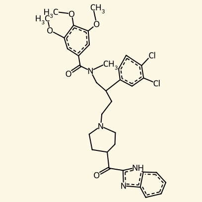 COc1cc(C(=O)N(C)CC(CCN2CCC(C(=O)c3nc4ccccc4[nH]3)CC2)c2ccc(Cl)c(Cl)c2)cc(OC)c1OC